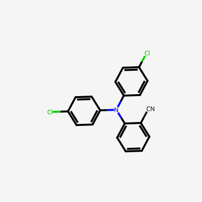 N#Cc1ccccc1N(c1ccc(Cl)cc1)c1ccc(Cl)cc1